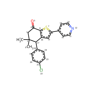 CC1(C)CC(=O)c2sc(-c3ccncc3)cc2C1c1ccc(Cl)cc1